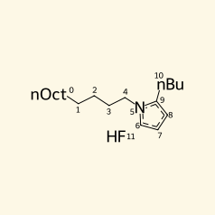 CCCCCCCCCCCCn1cccc1CCCC.F